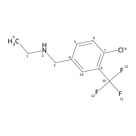 CCNCc1ccc(Cl)c(C(F)(F)F)c1